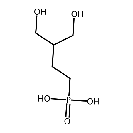 O=P(O)(O)CCC(CO)CO